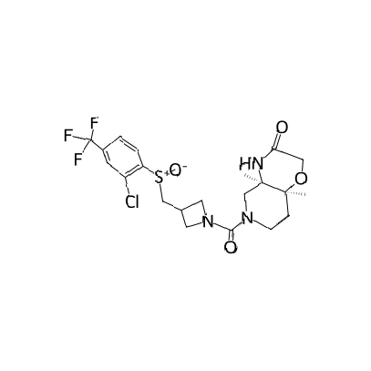 C[C@@]12CN(C(=O)N3CC(C[S+]([O-])c4ccc(C(F)(F)F)cc4Cl)C3)CC[C@]1(C)OCC(=O)N2